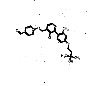 Cc1cc(OCCC(C)(C)O)ccc1-c1cccc(COc2ccc(C=O)cc2)c1Cl